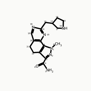 Cn1nc(C(N)=O)c2c1-c1nc(CC3CCNC3)ncc1CC2